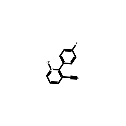 N#Cc1ccc[n+]([O-])c1-c1ccc(F)cc1